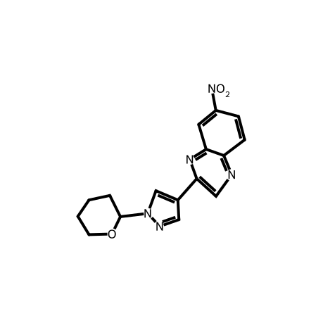 O=[N+]([O-])c1ccc2ncc(-c3cnn(C4CCCCO4)c3)nc2c1